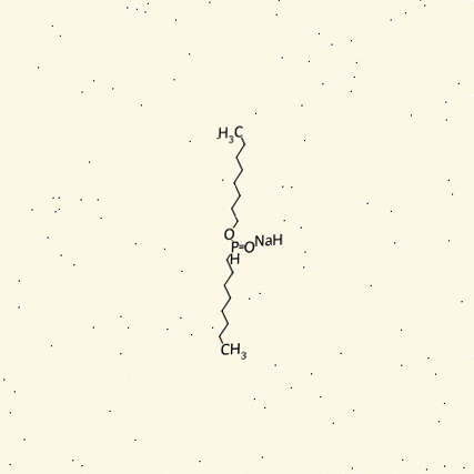 CCCCCCCCO[PH](=O)CCCCCCCC.[NaH]